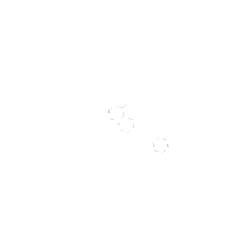 O=c1oc(C2CCOCC2)c(I)c2ccc(OCc3ccccc3)cc12